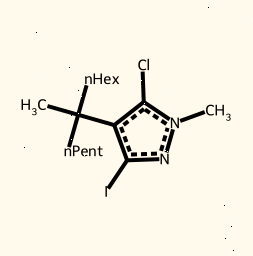 CCCCCCC(C)(CCCCC)c1c(I)nn(C)c1Cl